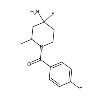 CC1CC(N)(F)CCN1C(=O)c1ccc(F)cc1